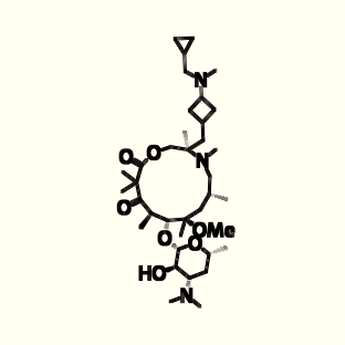 CO[C@]1(C)C[C@@H](C)CN(C)[C@](C)(CC2CC(N(C)CC3CC3)C2)COC(=O)C(C)(C)C(=O)[C@H](C)[C@H]1O[C@@H]1O[C@H](C)C[C@H](N(C)C)[C@H]1O